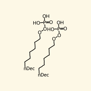 CCCCCCCCCCCCCCCCOOP(=O)(O)O.CCCCCCCCCCCCCCCCOOP(=O)(O)O